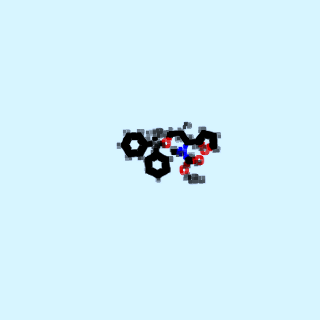 C[C@@H](CO[Si](c1ccccc1)(c1ccccc1)C(C)(C)C)[C@@H](c1ccco1)N(C)C(=O)OC(C)(C)C